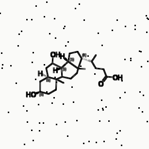 CC(CCC(=O)O)[C@H]1CC[C@H]2[C@H]3C(O)C[C@@H]4C[C@H](O)CCC4(C)C3CCC12C